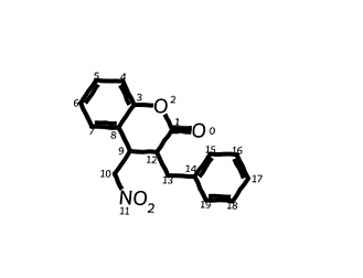 O=C1Oc2ccccc2C(C[N+](=O)[O-])C1Cc1ccccc1